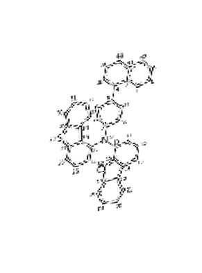 c1ccc2c(-c3ccc(N(c4cccc5c4oc4ccccc45)c4cccc5sc6ccccc6c45)cc3)cccc2c1